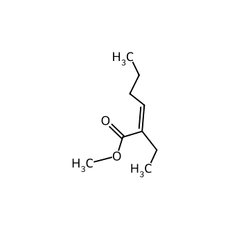 CCCC=C(CC)C(=O)OC